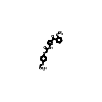 O=C(O)COc1ccc(SCC(=O)Nc2ccc(C(=O)c3ccccc3OC(F)(F)F)s2)cc1